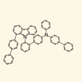 c1ccc(-c2ccc(-c3cccc4c5ccccc5n(-c5ccccc5-c5ccc(N(c6ccccc6)c6ccc(-c7ccccc7)cc6)cc5)c34)cc2)cc1